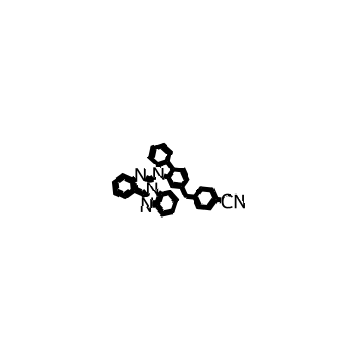 N#CC1=CC=C(CC2=CC3C(C=C2)C2C=CC=CC2N3c2nc3ccccc3c3nc4c(n23)C=CCC4)CC1